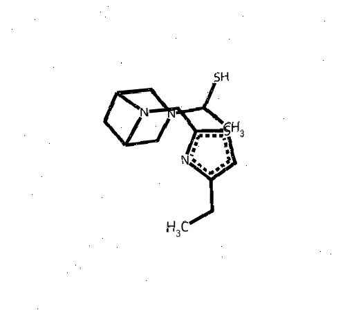 CCc1csc(CN2C3CC2CN(C(C)S)C3)n1